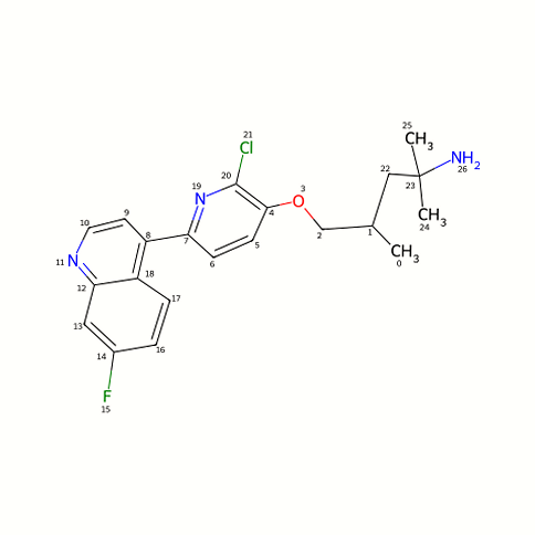 CC(COc1ccc(-c2ccnc3cc(F)ccc23)nc1Cl)CC(C)(C)N